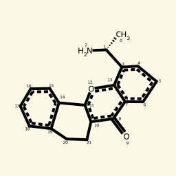 C[C@@H](N)c1cccc2c(=O)c3c(oc12)-c1ccccc1CC3